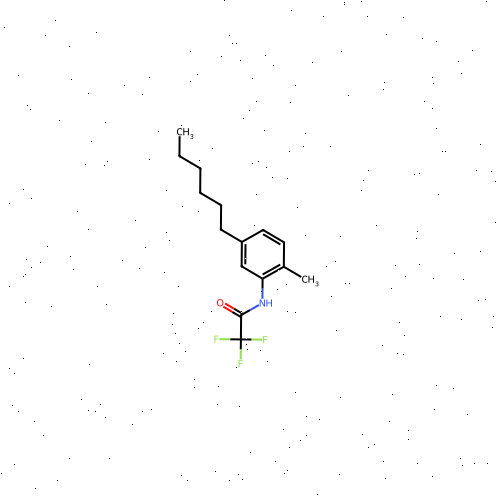 CCCCCCc1ccc(C)c(NC(=O)C(F)(F)F)c1